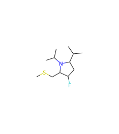 CSCC1C(F)CC(C(C)C)N1C(C)C